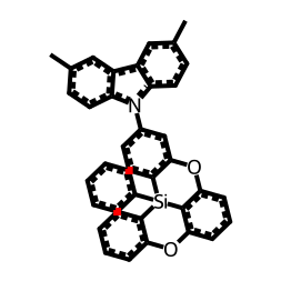 Cc1ccc2c(c1)c1cc(C)ccc1n2-c1ccc2c(c1)Oc1cccc3c1[Si]2(c1ccccc1)c1ccccc1O3